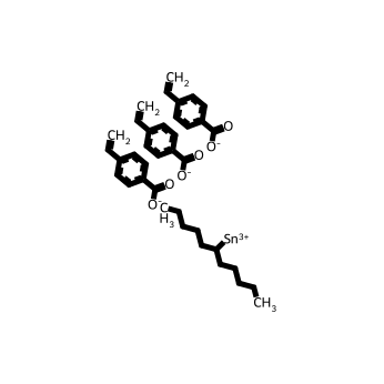 C=Cc1ccc(C(=O)[O-])cc1.C=Cc1ccc(C(=O)[O-])cc1.C=Cc1ccc(C(=O)[O-])cc1.CCCCC[CH]([Sn+3])CCCCC